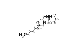 CCCCCNC(=O)CN1CCNC2(CCCCC2)C1